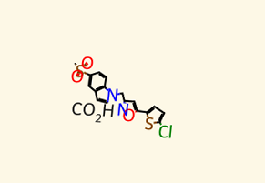 CS(=O)(=O)c1ccc2c(c1)cc(C(=O)O)n2Cc1cc(-c2ccc(Cl)s2)on1